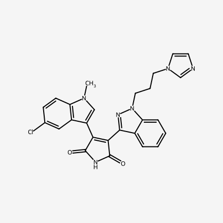 Cn1cc(C2=C(c3nn(CCCn4ccnc4)c4ccccc34)C(=O)NC2=O)c2cc(Cl)ccc21